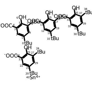 CC(C)(C)c1cc(C(=O)[O-])c(O)c(C(C)(C)C)c1.CC(C)(C)c1cc(C(=O)[O-])c(O)c(C(C)(C)C)c1.CC(C)(C)c1cc(C(=O)[O-])c(O)c(C(C)(C)C)c1.CC(C)(C)c1cc(C(=O)[O-])c(O)c(C(C)(C)C)c1.[Sn+4]